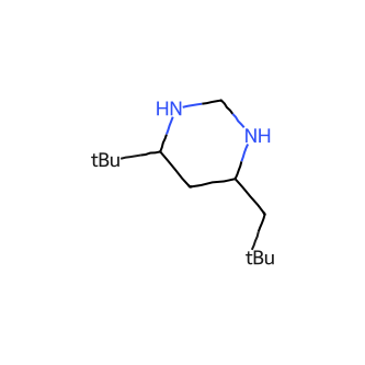 CC(C)(C)CC1CC(C(C)(C)C)NCN1